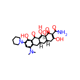 CN(C)c1cc(N2CCCCC2)c(O)c2c1C[C@H]1C[C@H]3CC(O)=C(C(N)=O)C(=O)[C@@]3(O)C(O)=C1C2=O